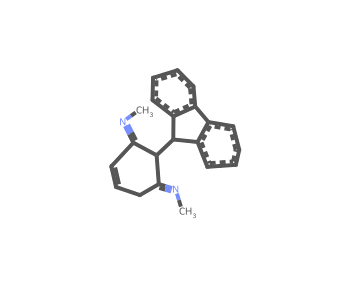 C/N=C1/C=CC/C(=N\C)C1C1c2ccccc2-c2ccccc21